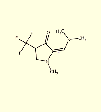 CN(C)/C=C1\C(=O)C(C(F)(F)F)CN1C